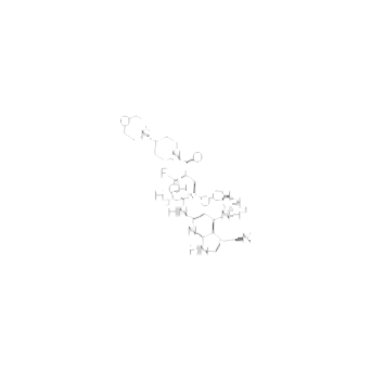 C=C(Nc1cc(NC)c2c(C#N)c[nH]c2n1)/C(=C\C(C(=O)N1CCC(N2CCOCC2)CC1)=C(/C)F)OC